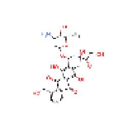 C[C@@H]1OC(O[C@H]2C[C@](O)(C(=O)CO)Cc3c(O)c4c(c(O)c32)C(=O)c2c(CO)cccc2C4=O)CC(N)C1O